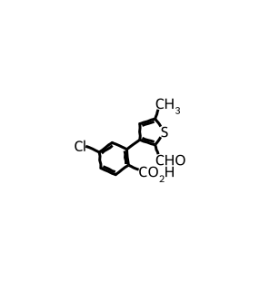 Cc1cc(-c2cc(Cl)ccc2C(=O)O)c(C=O)s1